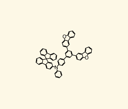 c1ccc(N(c2ccc(-c3cc(-c4ccc5oc6ccccc6c5c4)cc(-c4ccc5oc6ccccc6c5c4)c3)cc2)c2ccc3c(c2)C2(c4ccccc4-c4ccccc42)c2ccccc2-3)cc1